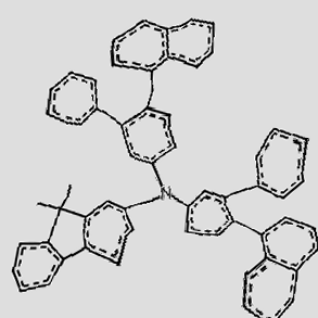 CC1(C)c2ccccc2-c2ccc(N(c3ccc(-c4cccc5ccccc45)c(-c4ccccc4)c3)c3ccc(-c4cccc5ccccc45)c(-c4ccccc4)c3)cc21